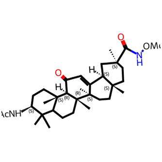 CONC(=O)[C@@]1(C)CC[C@]2(C)CC[C@]3(C)C(=CC(=O)[C@@H]4[C@@]5(C)CC[C@H](NC(C)=O)C(C)(C)C5CC[C@]43C)[C@H]2C1